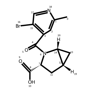 Cc1cc(C(=O)N2[C@@H](C(=O)O)C[C@H]3C[C@H]32)c(Br)cn1